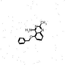 Cc1nc(N)c2c(OCc3ccccc3)cccc2n1